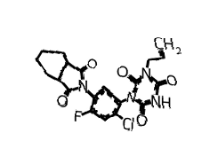 C=CCn1c(=O)[nH]c(=O)n(-c2cc(N3C(=O)C4CCCCC4C3=O)c(F)cc2Cl)c1=O